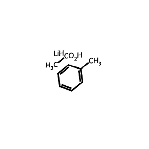 CC(=O)O.Cc1ccccc1.[LiH]